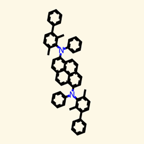 Cc1ccc(-c2ccccc2)c(C)c1N(c1ccccc1)c1ccc2ccc3c(N(c4ccccc4)c4c(C)ccc(-c5ccccc5)c4C)ccc4ccc1c2c43